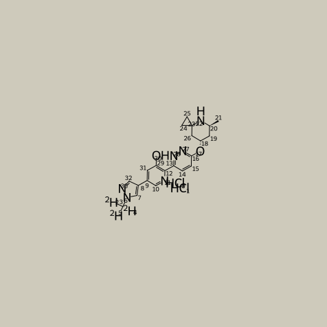 Cl.Cl.[2H]C([2H])([2H])n1cc(-c2cnc(-c3ccc(O[C@H]4C[C@H](C)NC5(CC5)C4)nn3)c(O)c2)cn1